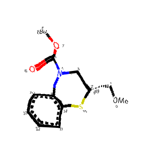 COC[C@H]1CN(C(=O)OC(C)(C)C)c2ccccc2S1